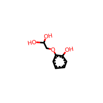 Oc1ccccc1OCC(O)O